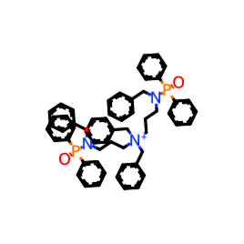 O=P(c1ccccc1)(c1ccccc1)N(CCC[N+](CCCN(Cc1ccccc1)P(=O)(c1ccccc1)c1ccccc1)(Cc1ccccc1)Cc1ccccc1)Cc1ccccc1